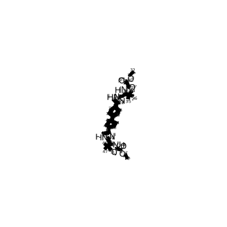 CCOC(=O)C(=O)NC(c1nc(-c2ccc(-c3ccc(-c4c[nH]c(C(NC(=O)C(=O)OCC)C(C)(C)C)n4)cc3)cc2)c[nH]1)C(C)(C)C